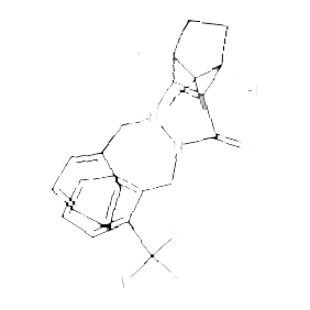 CC1(C)[C@H]2CC[C@]1(C)c1c2c(=O)n(Cc2ccccc2C(F)(F)F)n1Cc1ccccc1